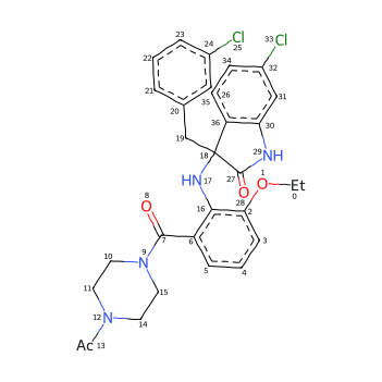 CCOc1cccc(C(=O)N2CCN(C(C)=O)CC2)c1NC1(Cc2cccc(Cl)c2)C(=O)Nc2cc(Cl)ccc21